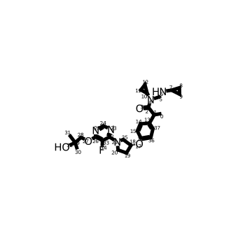 CC(C(=O)N(CNC1CC1)C1CC1)c1ccc(O[C@@H]2CCN(c3ncnc(OCC(C)(C)O)c3F)C2)cc1